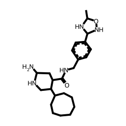 CC1NC(c2ccc(CNC(=O)C3CC(N)NCC3C3CCCCCCC3)cc2)NO1